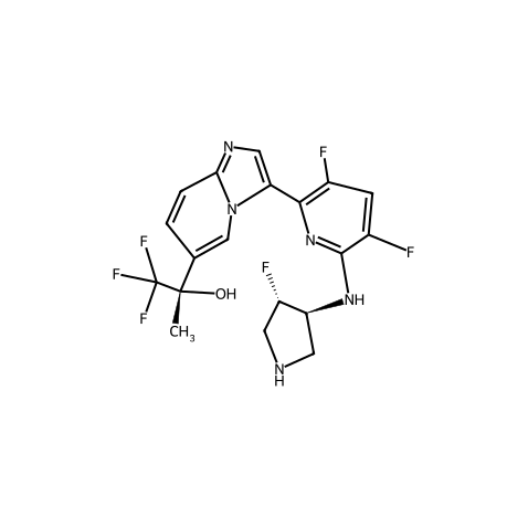 C[C@](O)(c1ccc2ncc(-c3nc(N[C@H]4CNC[C@@H]4F)c(F)cc3F)n2c1)C(F)(F)F